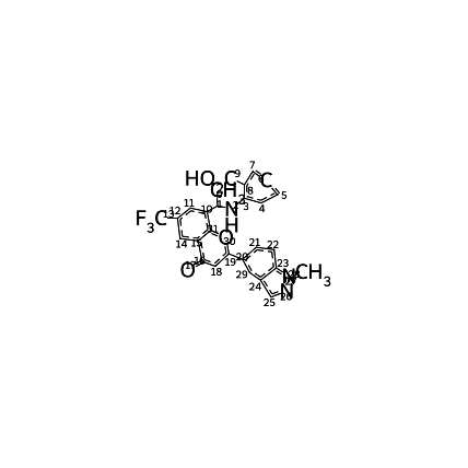 CC(Nc1ccccc1C(=O)O)c1cc(C(F)(F)F)cc2c(=O)cc(-c3ccc4c(cnn4C)c3)oc12